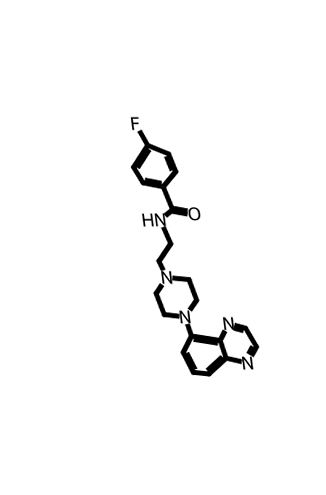 O=C(NCCN1CCN(c2cccc3nccnc23)CC1)c1ccc(F)cc1